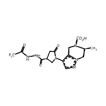 C[C@H]1Cn2ncc(N3CC(C(=O)NNC(=O)C(F)(F)F)CC3=O)c2CN1C(=O)O